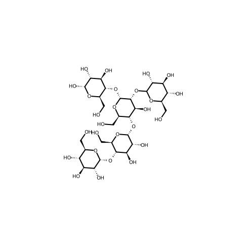 OC[C@H]1O[C@H](O[C@H]2[C@H](O)[C@@H](O)[C@@H](O[C@H]3[C@H](O)[C@@H](OC4O[C@H](CO)[C@@H](O)[C@H](O)[C@H]4O)[C@@H](O[C@H]4[C@H](O)[C@@H](O)[C@@H](O)O[C@@H]4CO)O[C@@H]3CO)O[C@@H]2CO)[C@H](O)[C@@H](O)[C@@H]1O